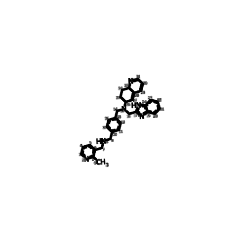 Cc1ncccc1CNCc1ccc(CN(Cc2nc3ccccc3[nH]2)C2C=C3C=CC=NC3CC2)cc1